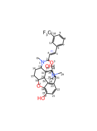 CN(C(=O)/C=C/c1cccc(C(F)(F)F)c1)C1CCC2Oc3c(O)ccc4c3[C@@]23CCN(C)[C@H](C4)[C@]13O